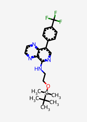 CC(C)(C)[Si](C)(C)OCCNc1ncc(-c2ccc(C(F)(F)F)cc2)c2nccnc12